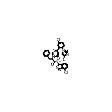 O=C(Nc1noc2c(Cl)cccc12)C(Cc1ccccc1)n1cnc(-c2cc(Cl)ccc2-n2cc(Cl)nn2)cc1=O